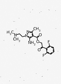 Cc1nn(CCN(C)C)c(N)c1C(=O)OCC(=O)c1c(F)cccc1F